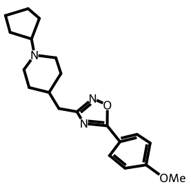 COc1ccc(-c2nc(CC3CCN(C4CCCC4)CC3)no2)cc1